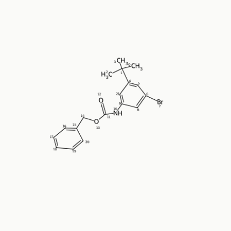 CC(C)(C)c1cc(Br)cc(NC(=O)OCc2ccccc2)c1